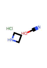 C1CNC1.Cl.N#CO